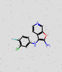 Nc1oc2cnccc2c1Nc1ccc(F)c(Cl)c1